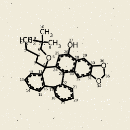 CCCCC1(OCC(C)(C)C)c2ccccc2-c2ccccc2-c2c1cc(O)c1cc3c(cc21)OCO3